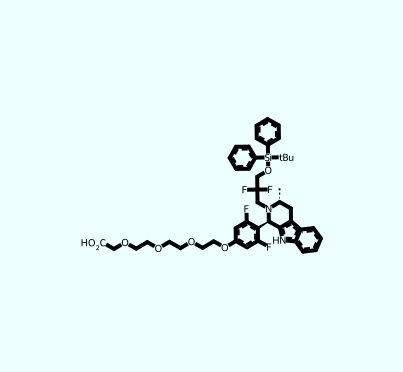 C[C@@H]1Cc2c([nH]c3ccccc23)[C@@H](c2c(F)cc(OCCOCCOCCOCC(=O)O)cc2F)N1CC(F)(F)CO[Si](c1ccccc1)(c1ccccc1)C(C)(C)C